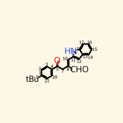 CC(C)(C)c1ccc(C(=O)C/C(C=O)=C/c2cc3ccccc3[nH]2)cc1